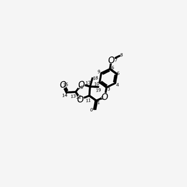 C=C(Oc1ccc(OC)cc1)C1OC(C=O)OC1(C)C